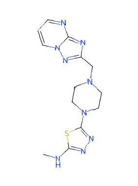 CNc1nnc(N2CCN(Cc3nc4ncccn4n3)CC2)s1